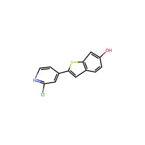 Oc1ccc2cc(-c3ccnc(Cl)c3)sc2c1